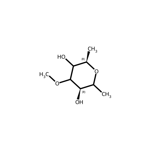 COC1C(O)[C@@H](C)OC(C)[C@H]1O